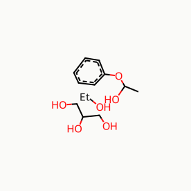 CC(O)Oc1ccccc1.CCO.OCC(O)CO